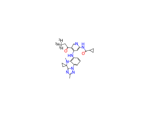 [2H]C([2H])([2H])CC(=O)c1cnc(NC(=O)C2CC2)cc1Nc1cccc2c1N(C)C1(CC1)c1nc(C)nn1-2